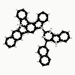 c1ccc2cc(-c3nc(-n4c5ccccc5c5c6c7ccccc7n7c8cc9ccccc9cc8c(cc54)c67)nc4c3oc3ccccc34)ccc2c1